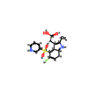 CC1=C(CC(=O)O)C2=C(S(=O)(=O)c3cccnc3)C(F)=CCC2=N1